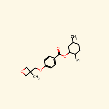 CC1CCC(C(C)C)C(OC(=O)c2ccc(OCC3(C)COC3)cc2)C1